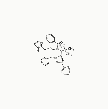 CC(C)(C)C(c1nc(-c2ccccc2)cn1Cc1ccccc1)N(CCCc1ncc[nH]1)C(=O)c1ccccc1